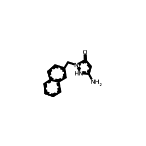 Nc1cc(=O)n(Cc2ccc3ccccc3c2)[nH]1